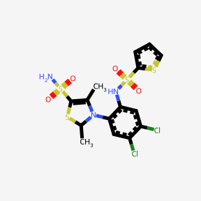 CC1=C(S(N)(=O)=O)SC(C)N1c1cc(Cl)c(Cl)cc1NS(=O)(=O)c1cccs1